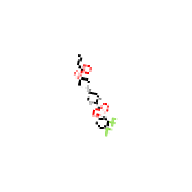 CC=CC(=O)O[C@H]1CC[C@H]([C@H]2CC[C@H](C(=O)Oc3ccc(F)c(F)c3)CC2)CC1